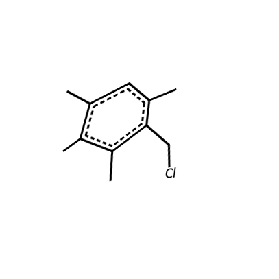 Cc1cc(C)c(CCl)c(C)c1C